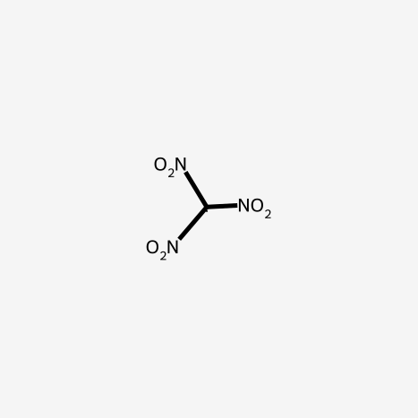 O=[N+]([O-])[C]([N+](=O)[O-])[N+](=O)[O-]